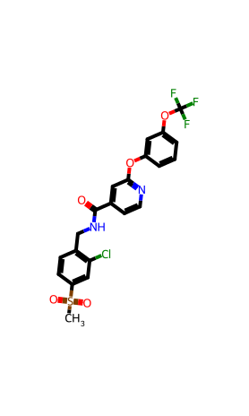 CS(=O)(=O)c1ccc(CNC(=O)c2ccnc(Oc3cccc(OC(F)(F)F)c3)c2)c(Cl)c1